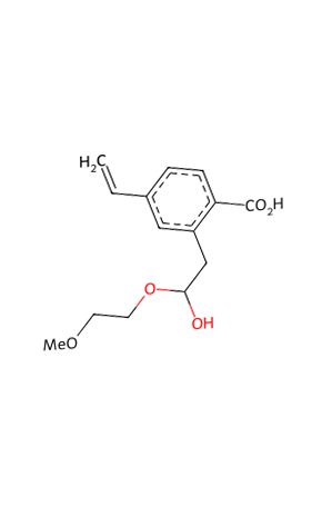 C=Cc1ccc(C(=O)O)c(CC(O)OCCOC)c1